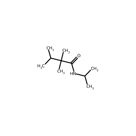 CC(C)NC(=O)C(C)(C)C(C)C